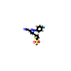 CS(=O)(=O)c1ccc(-c2cc(C#N)nn2-c2ccc(F)cc2)s1